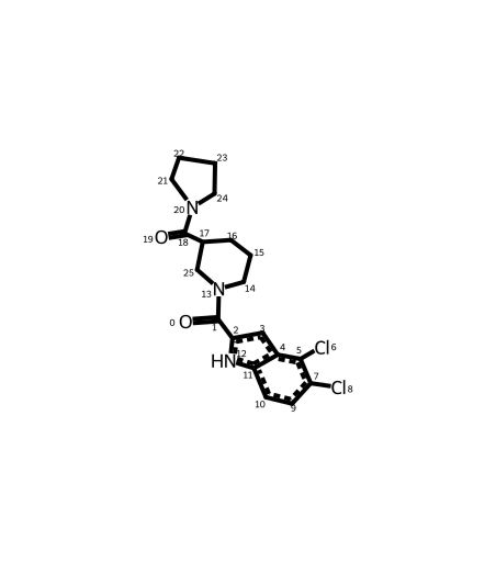 O=C(c1cc2c(Cl)c(Cl)ccc2[nH]1)N1CCCC(C(=O)N2CCCC2)C1